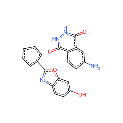 Nc1ccc2c(=O)[nH][nH]c(=O)c2c1.Oc1ccc2nc(-c3ccccc3)oc2c1